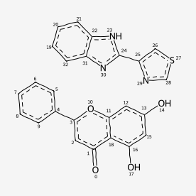 O=c1cc(-c2ccccc2)oc2cc(O)cc(O)c12.c1ccc2[nH]c(-c3cscn3)nc2c1